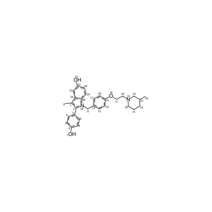 Cc1c(-c2ccc(O)cc2)n(Cc2ccc(OCCN3CCCC(C)C3)cc2)c2ccc(O)cc12